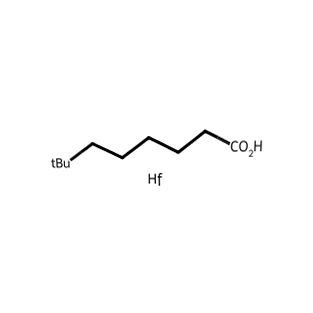 CC(C)(C)CCCCCC(=O)O.[Hf]